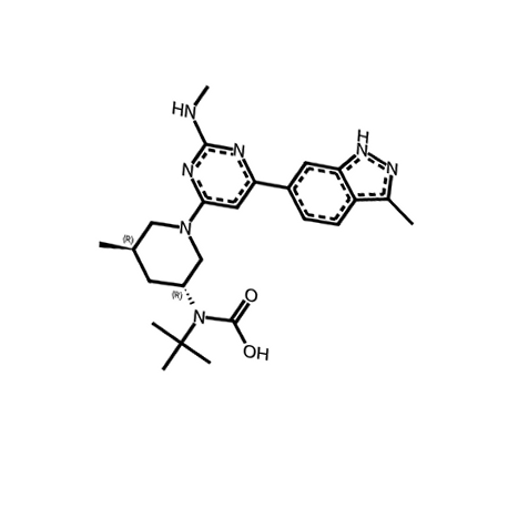 CNc1nc(-c2ccc3c(C)n[nH]c3c2)cc(N2C[C@H](C)C[C@@H](N(C(=O)O)C(C)(C)C)C2)n1